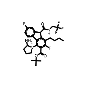 CCCCc1c(F)c(C(=O)OC(C)(C)C)c(N2CCCC2N)c2c1C(C(=O)NCC(F)(F)F)c1cc(F)ccc1-2